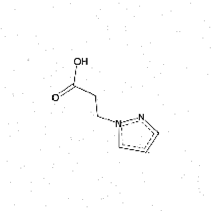 O=C(O)CCn1c[c]cn1